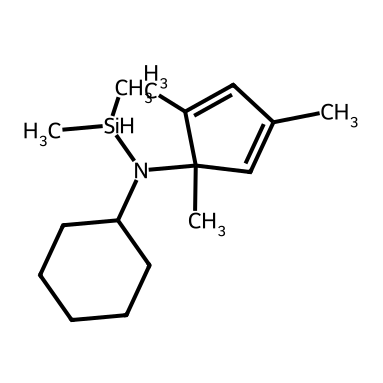 CC1=CC(C)(N(C2CCCCC2)[SiH](C)C)C(C)=C1